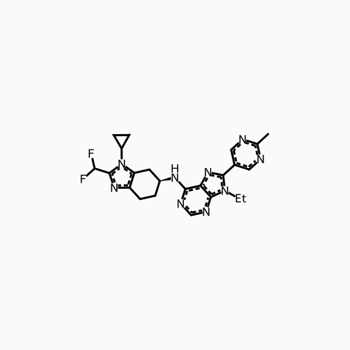 CCn1c(-c2cnc(C)nc2)nc2c(N[C@H]3CCc4nc(C(F)F)n(C5CC5)c4C3)ncnc21